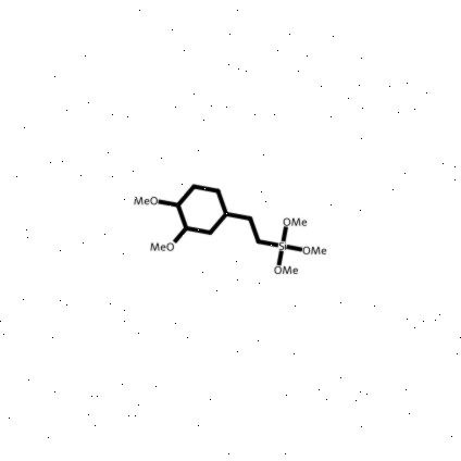 COC1CCC(CC[Si](OC)(OC)OC)CC1OC